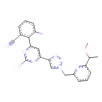 COC(C)c1cccc(Cn2cc(-c3cc(-c4c(I)cccc4C#N)nc(N)n3)nn2)n1